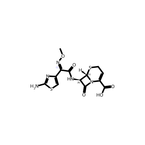 CO/N=C(\C(=O)N[C@@H]1C(=O)N2C(C(=O)O)=CCS[C@@H]12)c1csc(N)n1